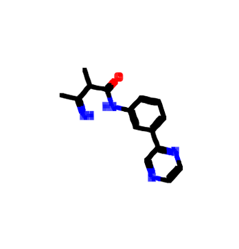 CC(=N)C(C)C(=O)Nc1cccc(-c2cnccn2)c1